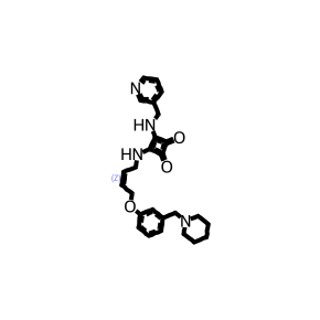 O=c1c(NC/C=C\COc2cccc(CN3CCCCC3)c2)c(NCc2cccnc2)c1=O